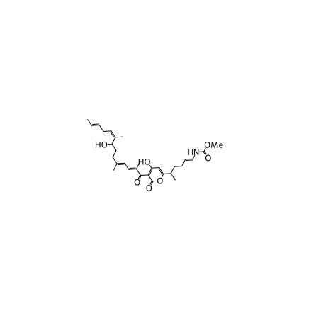 C/C=C/C/C=C(/C)[C@H](O)CC/C(C)=C/C=C(\C)C(=O)c1c(O)cc([C@H](C)CC/C=C/NC(=O)OC)oc1=O